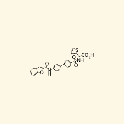 O=C(Nc1ccc(-c2ccc(S(=O)(=O)NC(C(=O)O)c3cccs3)cc2)cc1)c1cc2ccccc2o1